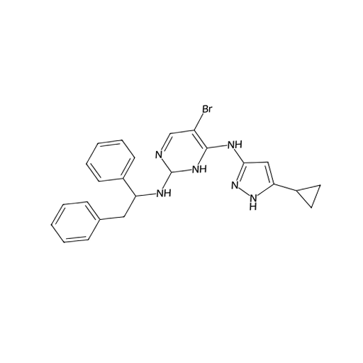 BrC1=C(Nc2cc(C3CC3)[nH]n2)NC(NC(Cc2ccccc2)c2ccccc2)N=C1